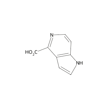 O=C(O)c1nccc2[nH]ccc12